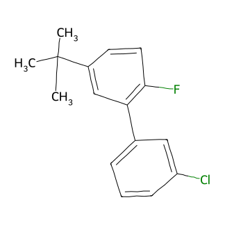 CC(C)(C)c1ccc(F)c(-c2cccc(Cl)c2)c1